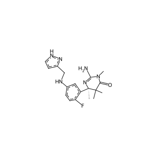 CN1C(=O)C(C)(C)[C@@](C)(c2cc(NCc3cc[nH]n3)ccc2F)N=C1N